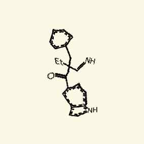 CCC(C=N)(Cc1ccccc1)C(=O)c1ccc2[nH]ccc2c1